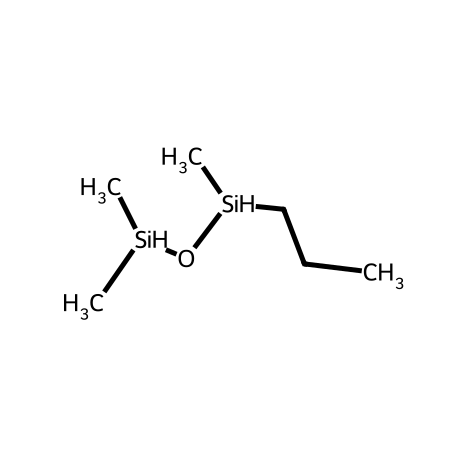 CCC[SiH](C)O[SiH](C)C